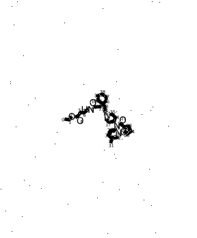 CCOC(=O)CCCNC(=O)CC1(CCN2CCC(N(C(=O)c3ccco3)c3ccc(C)cn3)CC2)CCCCC1